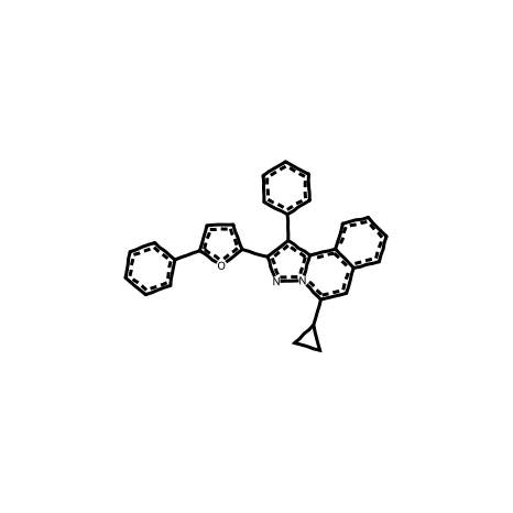 c1ccc(-c2ccc(-c3nn4c(C5CC5)cc5ccccc5c4c3-c3ccccc3)o2)cc1